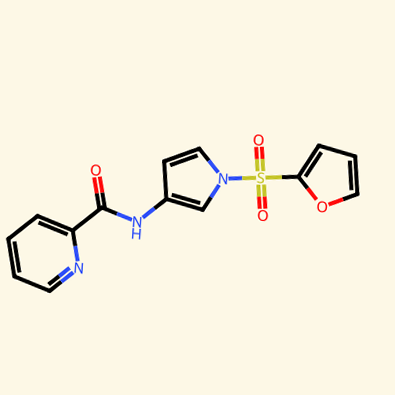 O=C(Nc1ccn(S(=O)(=O)c2ccco2)c1)c1ccccn1